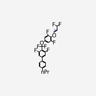 CCCc1ccc(-c2cc(F)c(C(F)(F)Oc3cc(F)c(O/C=C/C(F)F)c(F)c3)c(F)c2)cc1